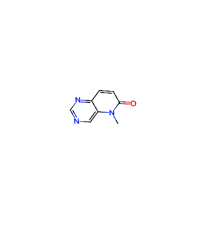 Cn1c(=O)ccc2ncncc21